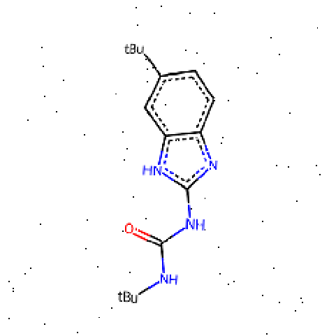 CC(C)(C)NC(=O)Nc1nc2ccc(C(C)(C)C)cc2[nH]1